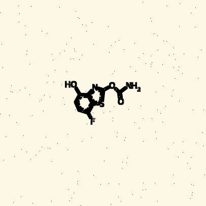 NC(=O)Oc1nc2c(O)ccc(F)c2s1